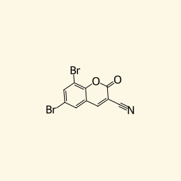 N#Cc1cc2cc(Br)cc(Br)c2oc1=O